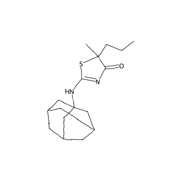 CCCC1(C)SC(NC23CC4CC(CC(C4)C2)C3)=NC1=O